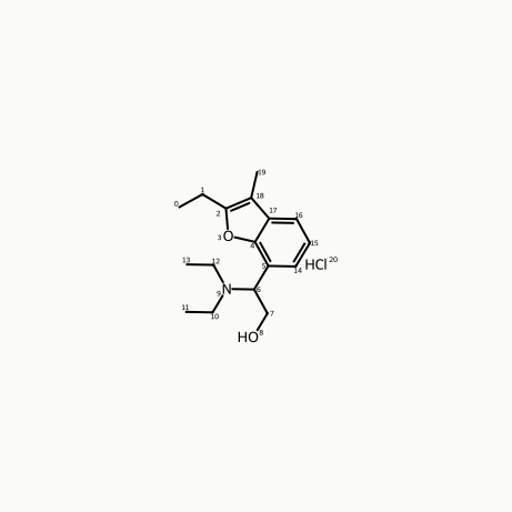 CCc1oc2c(C(CO)N(CC)CC)cccc2c1C.Cl